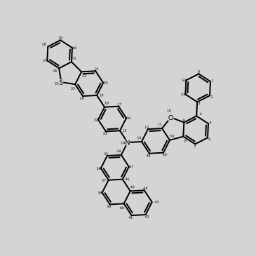 c1ccc(-c2cccc3c2oc2cc(N(c4ccc(-c5ccc6c(c5)sc5ccccc56)cc4)c4ccc5ccc6ccccc6c5c4)ccc23)cc1